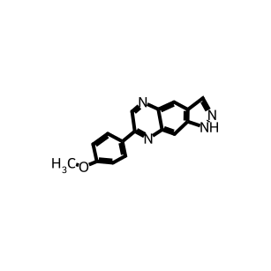 COc1ccc(-c2cnc3cc4cn[nH]c4cc3n2)cc1